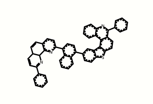 C1=CC2C=Cc3ccc(-c4ccc(-c5ccc6sc7ccc8c(-c9ccccc9)nc9ccccc9c8c7c6c5)c5ccccc45)nc3C2N=C1c1ccccc1